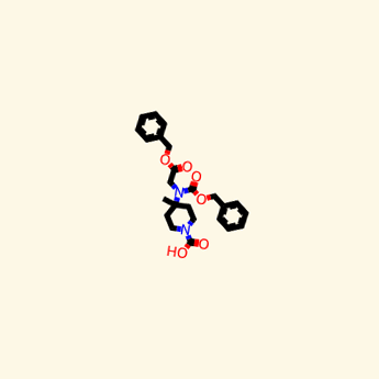 CC1(N(CC(=O)OCc2ccccc2)C(=O)OCc2ccccc2)CCN(C(=O)O)CC1